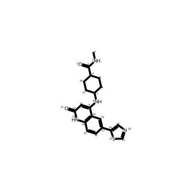 CNC(=O)C1CCC(Nc2cc(=O)[nH]c3ccc(-c4cncs4)cc23)CC1